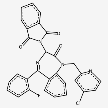 O=C1C(N2C(=O)c3ccccc3C2=O)N=C(c2ccccc2F)c2ccccc2N1Cc1cc(Cl)ccn1